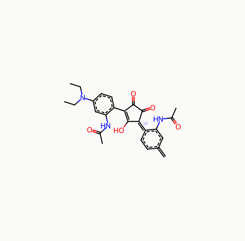 C=c1cc/c(=C2/C(=O)C(=O)C(c3ccc(N(CC)CC)cc3NC(C)=O)=C2O)c(NC(C)=O)c1